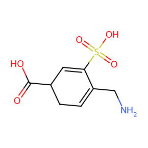 NCC1=CCC(C(=O)O)C=C1S(=O)(=O)O